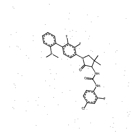 CP(C)c1ccccc1-c1ccc(N2CC(C)(C)C(NC(=O)Nc3ccc(Cl)cc3F)C2=O)c(F)c1F